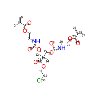 C=C(C)C(=O)OCCNC(=O)OCC(C)(COC(=O)NCCOC(=O)C(=C)C)C(=O)OCCCl